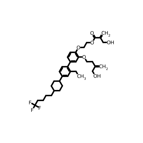 C=C(CO)CCOc1cc(-c2ccc(C3CCC(CCCCC(F)(F)F)CC3)cc2CC)ccc1OCCOC(=O)C(=C)CO